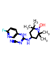 CC1(C)CC(N/C(=N/C#N)Nc2ccc(F)nc2)CC(C)(C)N1O